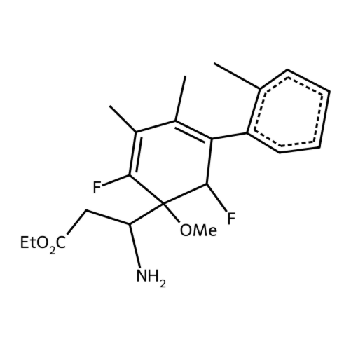 CCOC(=O)CC(N)C1(OC)C(F)=C(C)C(C)=C(c2ccccc2C)C1F